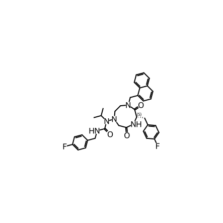 CC(C)N(C(=O)NCc1ccc(F)cc1)N1CCN(Cc2cccc3ccccc23)C(=O)[C@H](Cc2ccc(F)cc2)NC(=O)C1